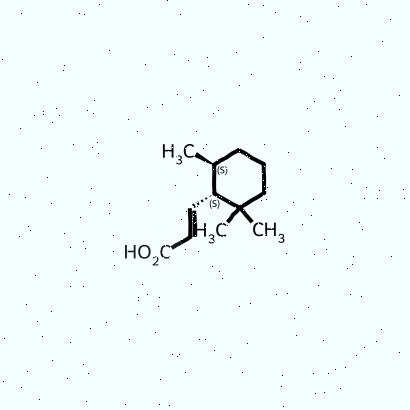 C[C@H]1CCCC(C)(C)[C@@H]1C=CC(=O)O